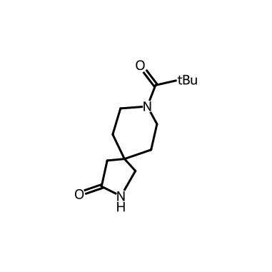 CC(C)(C)C(=O)N1CCC2(CC1)CNC(=O)C2